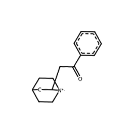 O=C(CC1CC2CC[N+]1CC2)c1ccccc1